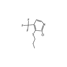 CCCSc1c(C(F)(F)F)ccnc1Cl